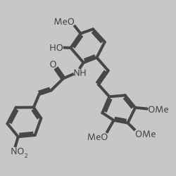 COc1ccc(C=Cc2cc(OC)c(OC)c(OC)c2)c(NC(=O)/C=C/c2ccc([N+](=O)[O-])cc2)c1O